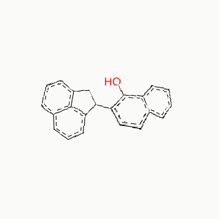 Oc1c(C2Cc3cccc4cccc2c34)ccc2ccccc12